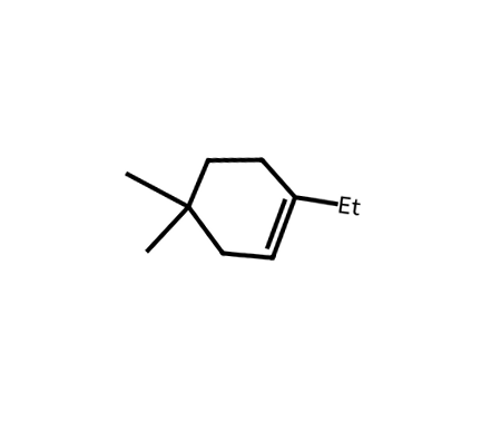 [CH2]CC1=CCC(C)(C)CC1